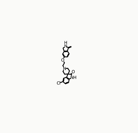 C=C1NCc2cc(OCCN3CCC4(CC3)C(=O)Nc3ccc(Cl)cc34)ccc21